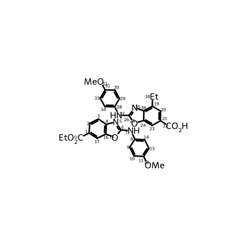 CCOC(=O)c1ccc2nc(Nc3ccc(OC)cc3)oc2c1.CCc1cc(C(=O)O)cc2oc(Nc3ccc(OC)cc3)nc12